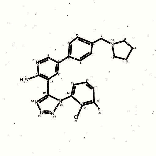 Nc1ncc(-c2ccc(CN3CCCC3)cc2)cc1-c1nnnn1-c1cccc(F)c1Cl